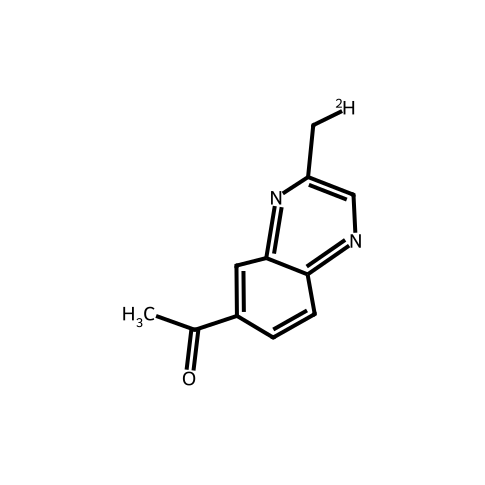 [2H]Cc1cnc2ccc(C(C)=O)cc2n1